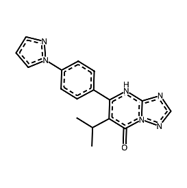 CC(C)c1c(-c2ccc(-n3cccn3)cc2)[nH]c2ncnn2c1=O